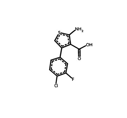 Nc1scc(-c2ccc(Cl)c(F)c2)c1C(=O)O